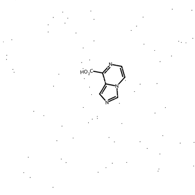 O=C(O)c1nccn2cncc12